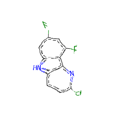 Fc1cc(F)c2c(c1)[nH]c1ccc(Cl)nc12